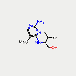 COc1cnc(N)nc1N[C@H](CO)C(C)C(C)C